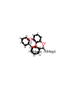 CCCCCCCC(Oc1cccc(O)c1OC(CCCCCCC)c1ccccc1)c1ccccc1